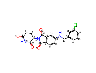 O=C1CCC(N2C(=O)c3ccc(NCc4cccc(Cl)c4)cc3C2=O)C(=O)N1